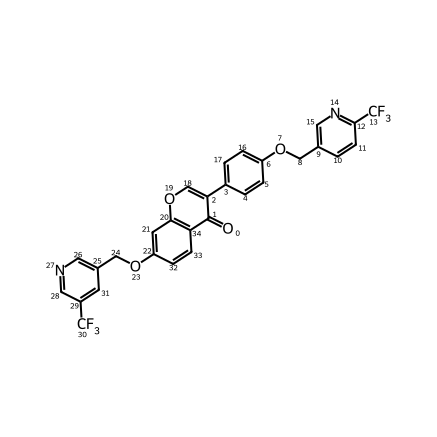 O=c1c(-c2ccc(OCc3ccc(C(F)(F)F)nc3)cc2)coc2cc(OCc3cncc(C(F)(F)F)c3)ccc12